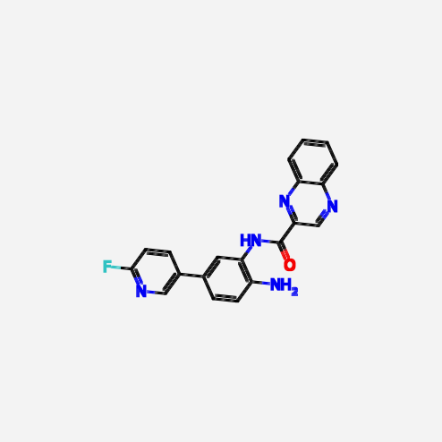 Nc1ccc(-c2ccc(F)nc2)cc1NC(=O)c1cnc2ccccc2n1